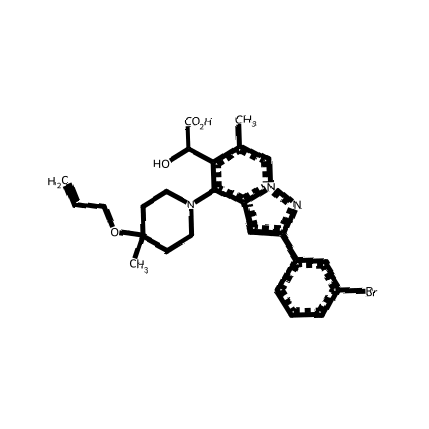 C=CCOC1(C)CCN(c2c(C(O)C(=O)O)c(C)cn3nc(-c4cccc(Br)c4)cc23)CC1